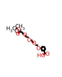 CC(C)(C)OC(=O)CCOCCOCCOCCOc1cccc(C(=O)O)c1